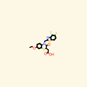 CCOc1ccc2c(c1)SC(CC(=O)O)C(=O)N2Cc1nc2c(F)c(F)ccc2s1